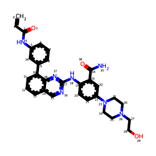 C=CC(=O)Nc1cccc(-c2cccc3cnc(Nc4ccc(N5CCN(CCO)CC5)cc4C(N)=O)nc23)c1